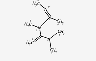 C=C(C(C)C)N(C)/C(C)=N\C